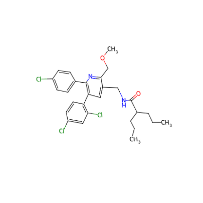 CCCC(CCC)C(=O)NCc1cc(-c2ccc(Cl)cc2Cl)c(-c2ccc(Cl)cc2)nc1COC